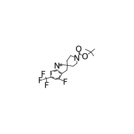 CC(C)(C)OC(=O)N1CCC(C#N)(Cc2ccc(C(F)(F)F)cc2F)CC1